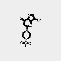 CS(=O)(=O)N1CCN(c2cc(=S)c3scc(Br)c3o2)CC1